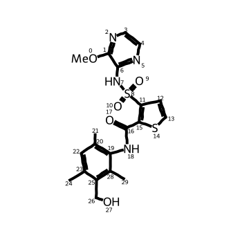 COc1nccnc1NS(=O)(=O)c1ccsc1C(=O)Nc1c(C)cc(C)c(CO)c1C